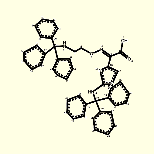 O=C(O)/C(=N/OCCNC(c1ccccc1)(c1ccccc1)c1ccccc1)c1csc(NC(c2ccccc2)(c2ccccc2)c2ccccc2)n1